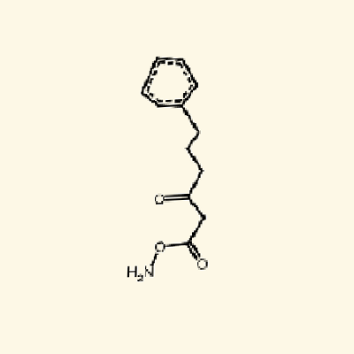 NOC(=O)CC(=O)CCCc1ccccc1